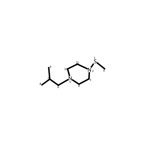 CSN1CCN(CC(C)C)CC1